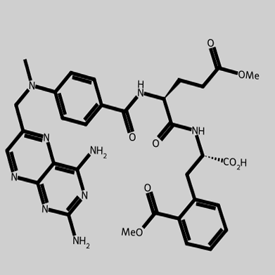 COC(=O)CC[C@H](NC(=O)c1ccc(N(C)Cc2cnc3nc(N)nc(N)c3n2)cc1)C(=O)N[C@@H](Cc1ccccc1C(=O)OC)C(=O)O